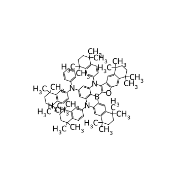 CC1(C)CCC(C)(C)c2cc(N(c3ccccc3)c3cc4c5c(c3)N(c3ccc6c(c3)C(C)(C)CCC6(C)C)c3c(oc6cc7c(cc36)C(C)(C)CCC7(C)C)B5c3cc5c(cc3N4c3ccc4c(c3)C(C)(C)CCC4(C)C)C(C)(C)CCC5(C)C)ccc21